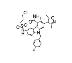 Cc1noc(C)c1-c1cc(C(N)=O)c2c3cc(NS(=O)(=O)CCCCl)ccc3n(Cc3ccc(F)cc3)c2c1